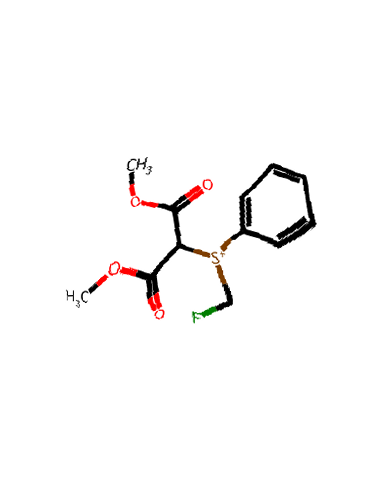 COC(=O)C(C(=O)OC)[S+](CF)c1ccccc1